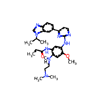 C=CC(=O)Nc1cc(Nc2nccc(-c3ccc4ncn(C(C)C)c4c3)n2)c(OC)cc1N(C)CCN(C)C